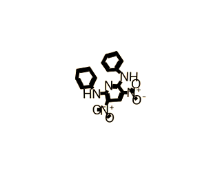 O=[N+]([O-])c1cc([N+](=O)[O-])c(Nc2ccccc2)nc1Nc1ccccc1